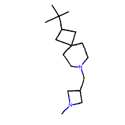 CN1CC(CN2CCC3(CC2)CC(C(C)(C)C)C3)C1